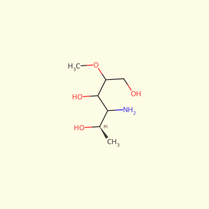 COC(CO)C(O)C(N)[C@@H](C)O